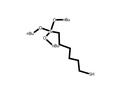 CCCCO[Si](CCCCCCS)(OCCCC)OCCCC